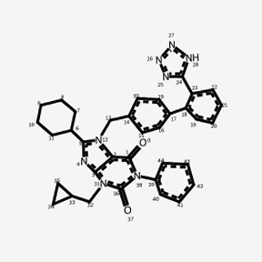 O=c1c2c(nc(C3CCCCC3)n2Cc2ccc(-c3ccccc3-c3nnn[nH]3)cc2)n(CC2CC2)c(=O)n1-c1ccccc1